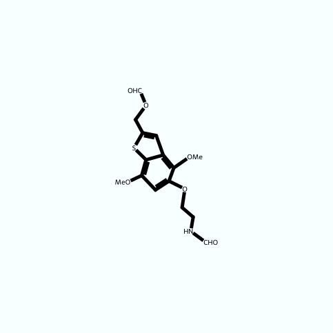 COc1c(OCCNC=O)cc(OC)c2sc(COC=O)cc12